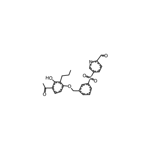 CCCc1c(OCc2cccc(S(=O)(=O)c3ccc(C=O)nc3)c2)ccc(C(C)=O)c1O